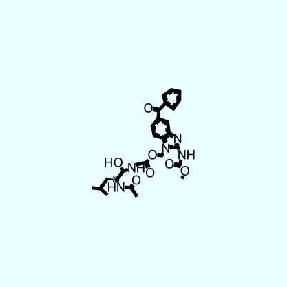 COC(=O)Nc1nc2cc(C(=O)c3ccccc3)ccc2n1COC(=O)CNC(O)[C@H](CC(C)C)NC(C)=O